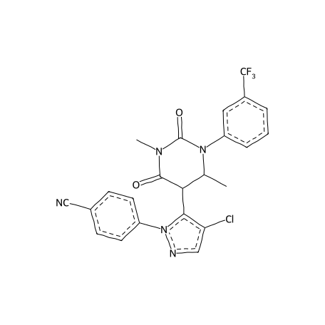 CC1C(c2c(Cl)cnn2-c2ccc(C#N)cc2)C(=O)N(C)C(=O)N1c1cccc(C(F)(F)F)c1